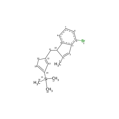 CC1=Cc2c(Br)cccc2C1CC1=CC([Si](C)(C)C)=CC1